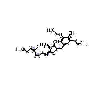 C=CCc1cc(/C=c2/s/c(=N/C/C=C\C(C)=C/CC)n(C)c2=C)cc(OCC)c1C